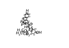 CC(C)(C)OC(=O)c1c(NC(=O)NCc2c(C(F)(F)I)sc3c2CCNC3)sc2c1CCC(O)C2